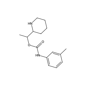 Cc1cccc(NC(=O)OC(C)C2CCCCN2)c1